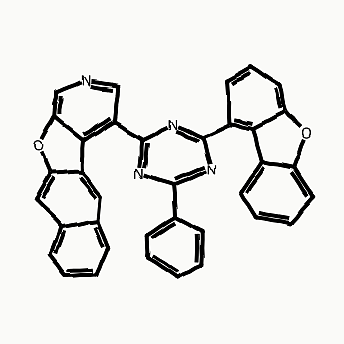 c1ccc(-c2nc(-c3cccc4oc5ccccc5c34)nc(-c3cncc4oc5cc6ccccc6cc5c34)n2)cc1